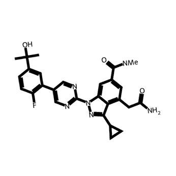 CNC(=O)c1cc(CC(N)=O)c2c(C3CC3)nn(-c3ncc(-c4cc(C(C)(C)O)ccc4F)cn3)c2c1